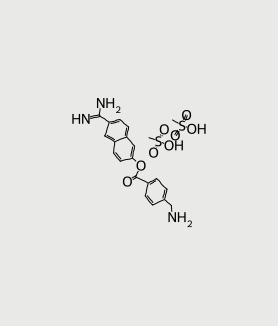 CS(=O)(=O)O.CS(=O)(=O)O.N=C(N)c1ccc2cc(OC(=O)c3ccc(CN)cc3)ccc2c1